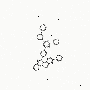 c1ccc(-c2cccc(-c3cc(-c4ccc(-c5nc6ccccc6c6ccc7nc(-c8ccccc8)ccc7c56)cc4)nc(-c4ccccc4)n3)c2)cc1